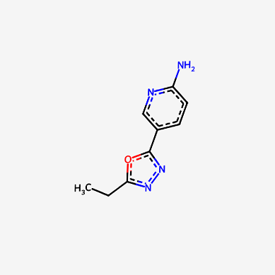 CCc1nnc(-c2ccc(N)nc2)o1